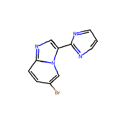 Brc1ccc2ncc(-c3ncccn3)n2c1